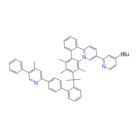 Cc1cc(-c2ccc(-c3ccccc3C(C)(C)c3c(C)c(C)c(-c4ccccc4-c4ccc(-c5cc(C(C)(C)C)ccn5)cn4)c(C)c3C)cc2)ncc1-c1ccccc1